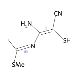 CS/C(C)=N/C(N)=C(\S)C#N